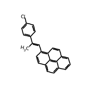 C/C(=C\c1ccc2ccc3cccc4ccc1c2c34)c1ccc(Cl)cc1